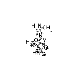 COc1c(N2CCC(C(C)N)C2)ccc2c(=O)c3c(=O)[nH]sc3n(C3CC3)c12